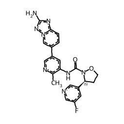 Cc1ncc(-c2ccc3nc(N)nn3c2)cc1NC(=O)N1OCC[C@H]1c1cncc(F)c1